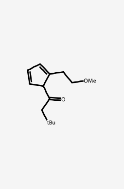 COCCC1=CC=CC1C(=O)CC(C)(C)C